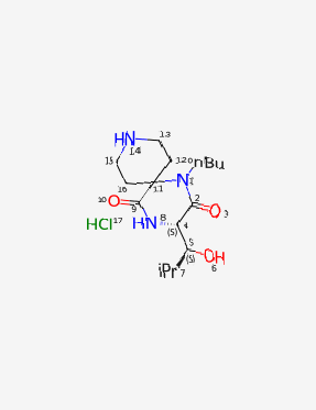 CCCCN1C(=O)[C@H]([C@@H](O)C(C)C)NC(=O)C12CCNCC2.Cl